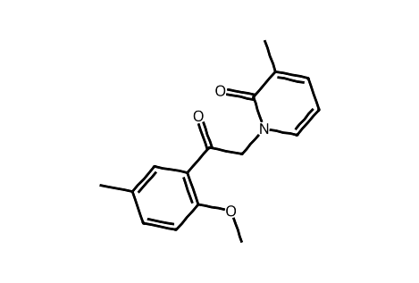 COc1ccc(C)cc1C(=O)Cn1cccc(C)c1=O